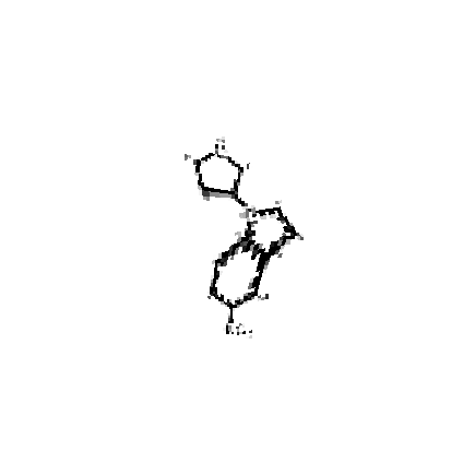 O=[N+]([O-])c1ccc2c(ccn2C2CCOC2)c1